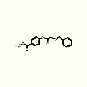 COC(=O)c1ccc(OC(=O)COCc2ccccc2)cc1